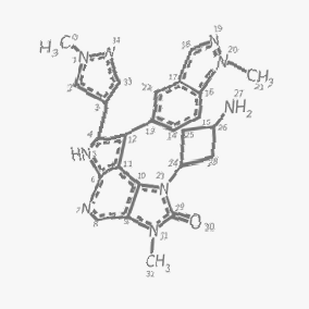 Cn1cc(-c2[nH]c3ncc4c(c3c2-c2ccc3c(cnn3C)c2)n(C2CC(N)C2)c(=O)n4C)cn1